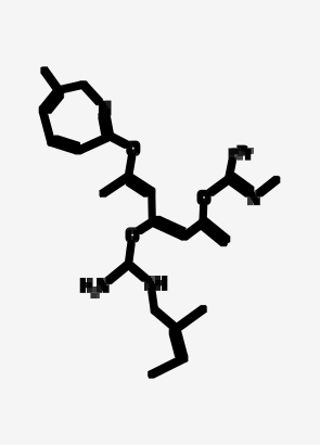 C=C(/C=C(\C=C(/C)OC1=NCC(C)=CC=C1)OC(N)NC/C(C)=C\C)O/C(CCC)=N/C